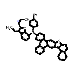 C=Cc1c(/C=C\C)oc2c(N(c3ccc(C(C)C)cc3)c3ccc4c(c3)c3ccccc3c3cc5c(cc43)sc3ccc4ccccc4c35)cccc12